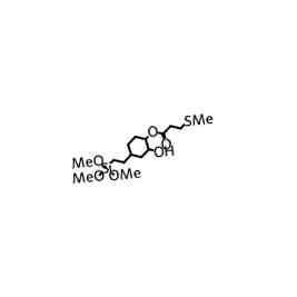 CO[Si](CCC1CCC(OC(=O)CCSC)C(O)C1)(OC)OC